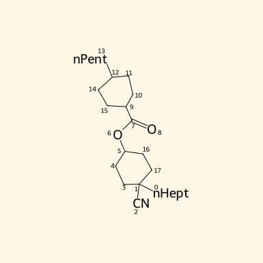 CCCCCCCC1(C#N)CCC(OC(=O)C2CCC(CCCCC)CC2)CC1